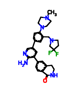 CN1CCN(c2ccc(-c3cnc(N)c(-c4ccc5c(c4)CCNC5=O)c3)cc2CN2CCC(F)(F)C2)CC1